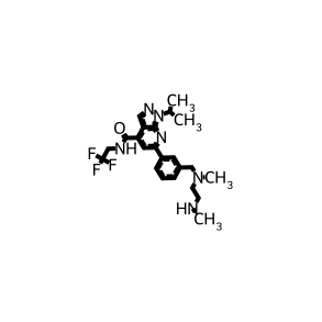 CNCCN(C)Cc1cccc(-c2cc(C(=O)NCC(F)(F)F)c3cnn(C(C)C)c3n2)c1